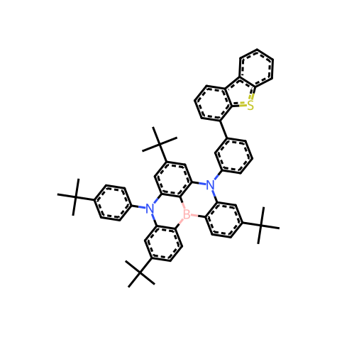 CC(C)(C)c1ccc(N2c3cc(C(C)(C)C)ccc3B3c4ccc(C(C)(C)C)cc4N(c4cccc(-c5cccc6c5sc5ccccc56)c4)c4cc(C(C)(C)C)cc2c43)cc1